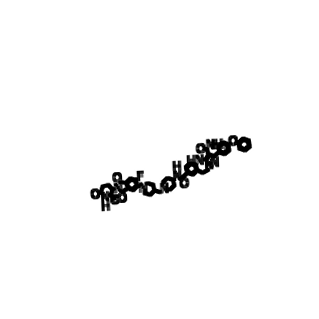 NC(=O)c1c(-c2ccc(Oc3ccccc3)cc2)nn2c1Nc1ccc(C(=O)NC3CCN(CC4CCN(c5cc6c(cc5F)C(=O)N(C5CCC(=O)NC5=O)C6=O)CC4)CC3)cc1CC2